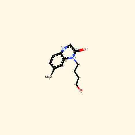 COc1ccc2ncc(=O)n(CCCCO)c2c1